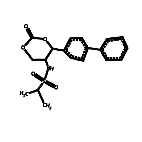 CC(C)S(=O)(=O)NC1COC(=O)OC1c1ccc(-c2ccccc2)cc1